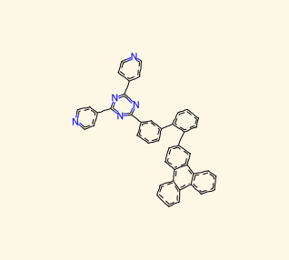 c1cc(-c2nc(-c3ccncc3)nc(-c3ccncc3)n2)cc(-c2ccccc2-c2ccc3c4ccccc4c4ccccc4c3c2)c1